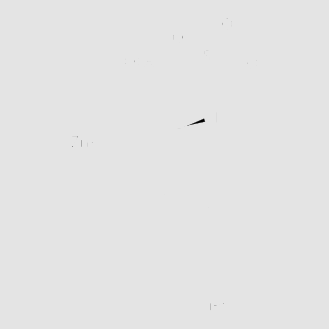 CC(C)c1ccc2c(c1)CC[C@H]1[C@@](CS(=O)(=O)[O-])(C(=O)[O-])CCC[C@]21C.[Zn+2]